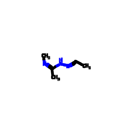 CC=NN/C(C)=N\C